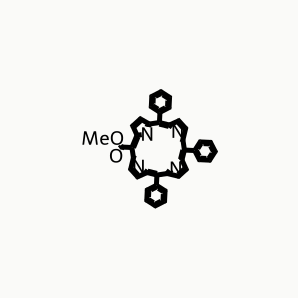 COC(=O)C1=C2C=CC(=N2)C(c2ccccc2)=C2C=CC(=N2)C(c2ccccc2)=C2C=CC(=N2)C(c2ccccc2)=C2C=CC1=N2